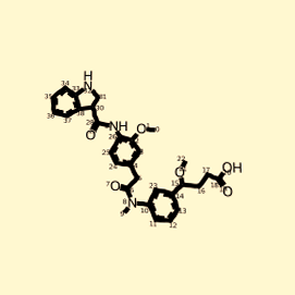 COc1cc(CC(=O)N(C)c2cccc(C(CCC(=O)O)OC)c2)ccc1NC(=O)C1CNc2ccccc21